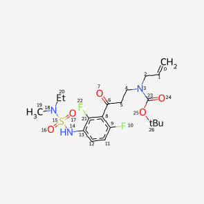 C=CCN(CCC(=O)c1c(F)ccc(NS(=O)(=O)N(C)CC)c1F)C(=O)OC(C)(C)C